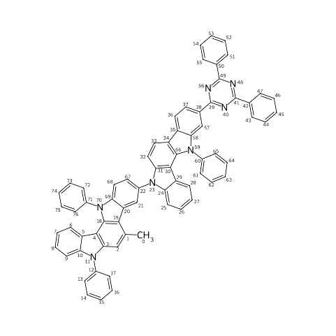 Cc1cc2c(c3ccccc3n2-c2ccccc2)c2c1c1cc(-n3c4ccccc4c4c3ccc3c5ccc(-c6nc(-c7ccccc7)nc(-c7ccccc7)n6)cc5n(-c5ccccc5)c34)ccc1n2-c1ccccc1